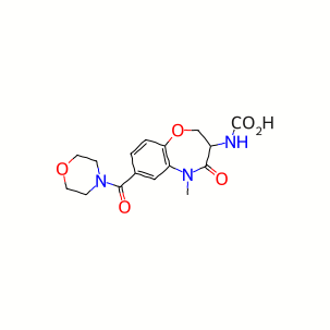 CN1C(=O)C(NC(=O)O)COc2ccc(C(=O)N3CCOCC3)cc21